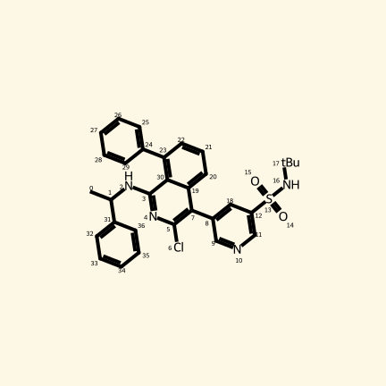 CC(Nc1nc(Cl)c(-c2cncc(S(=O)(=O)NC(C)(C)C)c2)c2cccc(-c3ccccc3)c12)c1ccccc1